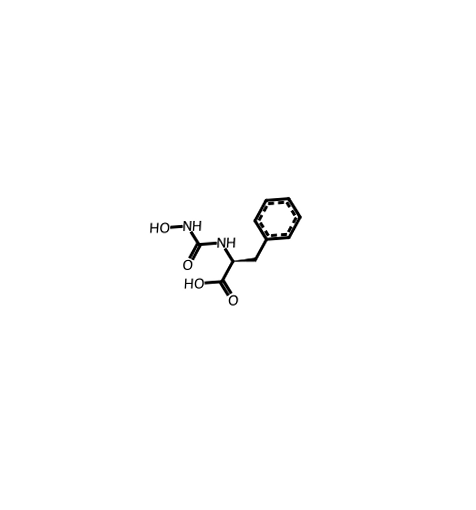 O=C(NO)N[C@@H](Cc1ccccc1)C(=O)O